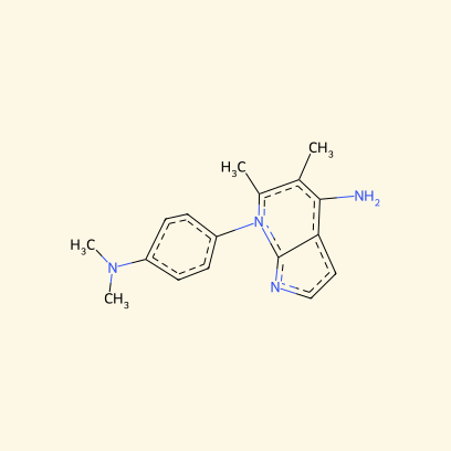 Cc1c(N)c2ccnc-2n(-c2ccc(N(C)C)cc2)c1C